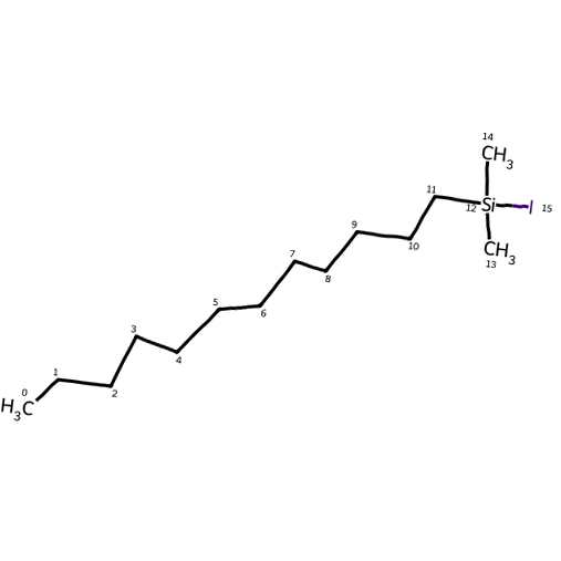 CCCCCCCCCCCC[Si](C)(C)I